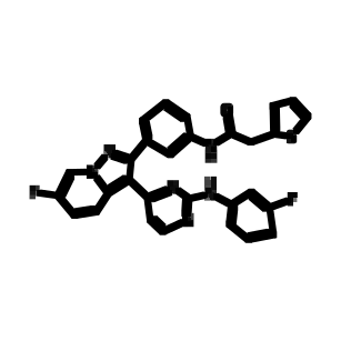 O=C(Cc1cccs1)Nc1cccc(-c2nn3cc(F)ccc3c2-c2ccnc(Nc3cccc(F)c3)n2)c1